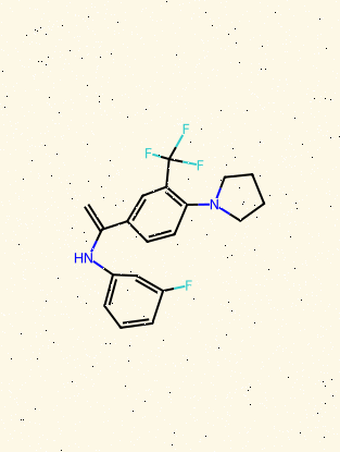 C=C(Nc1cccc(F)c1)c1ccc(N2CCCC2)c(C(F)(F)F)c1